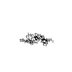 CC(C)(C)OC(=O)C(OC[C@H]1O[C@@H](n2cnc3c(N)nc(Cl)nc32)[C@H](O)[C@@H]1O)P(=O)(O)O